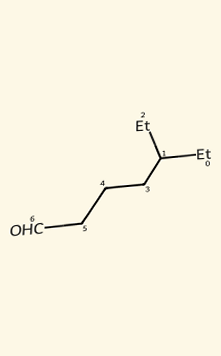 CCC(CC)CCCC=O